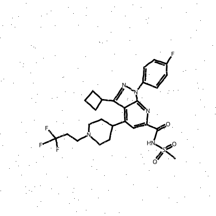 CS(=O)(=O)NC(=O)c1cc(C2CCN(CCC(F)(F)F)CC2)c2c(C3CCC3)nn(-c3ccc(F)cc3)c2n1